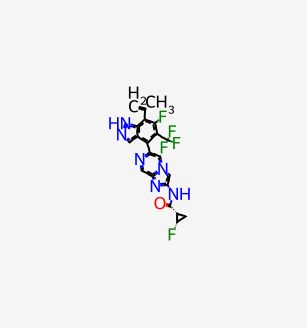 C=C(C)c1c(F)c(C(F)(F)F)c(-c2cn3cc(NC(=O)[C@@H]4C[C@@H]4F)nc3cn2)c2cn[nH]c12